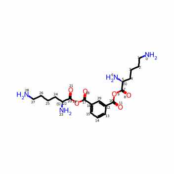 NCCCC[C@H](N)C(=O)OC(=O)c1cccc(C(=O)OC(=O)[C@@H](N)CCCCN)c1